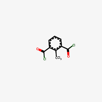 O=C(Cl)c1cccc(C(=O)Cl)c1C(Cl)(Cl)Cl